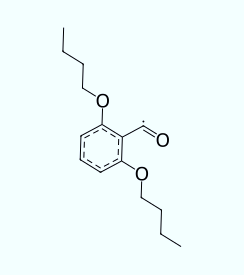 CCCCOc1cccc(OCCCC)c1[C]=O